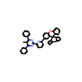 Cc1c(-c2ccccc2)nc(-c2cccc(-c3ccc4c(c3)C3(c5ccccc5O4)c4ccccc4-c4ccccc43)n2)nc1-c1ccccc1